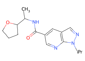 CC(NC(=O)c1cnc2c(cnn2C(C)C)c1)C1CCCO1